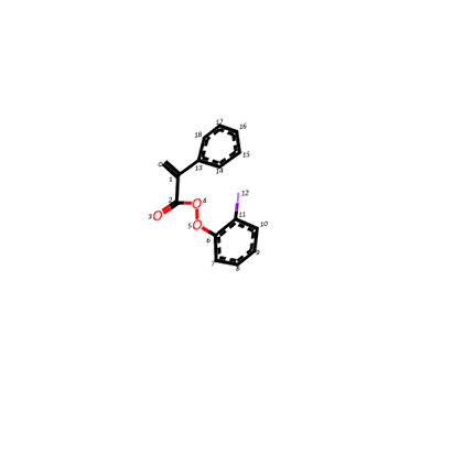 C=C(C(=O)OOc1ccccc1I)c1ccccc1